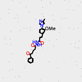 COc1cc(/C=C/C(=O)NNC(=O)CCCC(=O)c2ccccc2)ccc1-n1cnc(C)c1